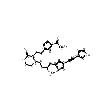 COC(=O)c1ccc(CCN2C(=O)SCCN2CCC(Cc2cc(C#Cc3ccsc3)cs2)OC(C)=O)s1